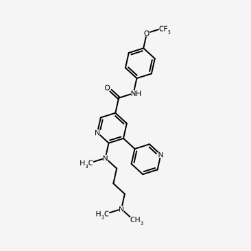 CN(C)CCCN(C)c1ncc(C(=O)Nc2ccc(OC(F)(F)F)cc2)cc1-c1cccnc1